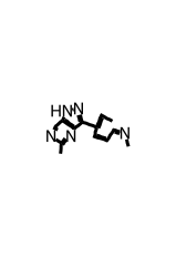 C\C=C(/C=C\C=N/C)c1n[nH]c2cnc(C)nc12